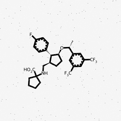 C[C@@H](O[C@H]1CC[C@@H](CNC2(C(=O)O)CCCC2)[C@@H]1c1ccc(F)cc1)c1cc(C(F)(F)F)cc(C(F)(F)F)c1